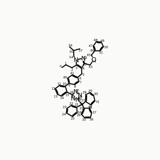 CCCc1c(Cc2ccc(-c3ccccc3-c3nnn(C(c4ccccc4)(c4ccccc4)c4ccccc4)n3)cc2)c(COCc2ccccc2)nn1CC(C)C